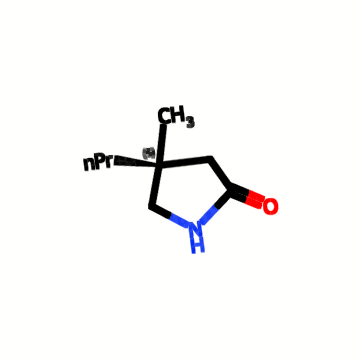 CCC[C@]1(C)CNC(=O)C1